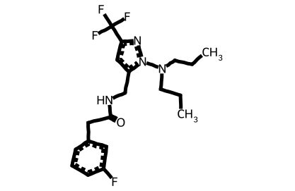 CCCN(CCC)n1nc(C(F)(F)F)cc1CNC(=O)Cc1cccc(F)c1